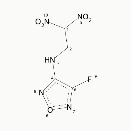 O=[N+]([O-])C(CNc1nonc1F)[N+](=O)[O-]